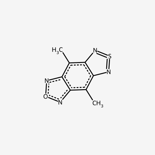 Cc1c2c(c(C)c3nonc13)N=S=N2